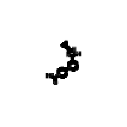 O=C(O)N1CCC(N2CCCC(c3nc(C4CC4)n[nH]3)C2)CC1